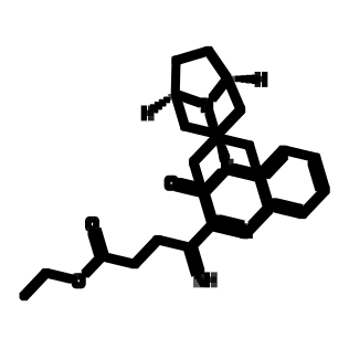 CCOC(=O)CCC(=N)c1nc2ccccc2n([C@H]2C[C@H]3CC[C@@H](C2)N3C2CC3CCCC(C3)C2)c1=O